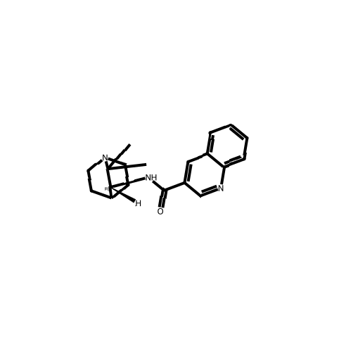 CC1(C)[C@H](NC(=O)c2cnc3ccccc3c2)C2CCN1CC2